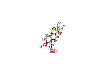 CCN(CC)S(=O)(=O)c1ccc2c(C=NO)c(OC)ccc2c1